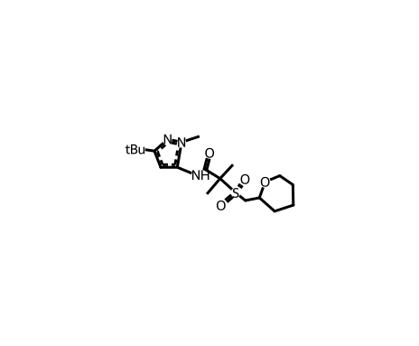 Cn1nc(C(C)(C)C)cc1NC(=O)C(C)(C)S(=O)(=O)CC1CCCCO1